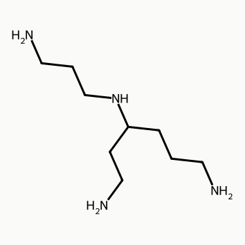 NCCCNC(CCN)CCCN